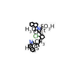 CCC(N1/C(=C\C=C2\CCCC(/C=C/C(CS(=O)(=O)O)C(C)(C)C3C=Nc4ccc5ccccc5c43)=C2Cl)C(C)(C)c2c1ccc1ccccc21)S(=O)(=O)O